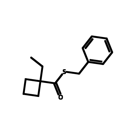 CCC1(C(=O)SCc2ccccc2)CCC1